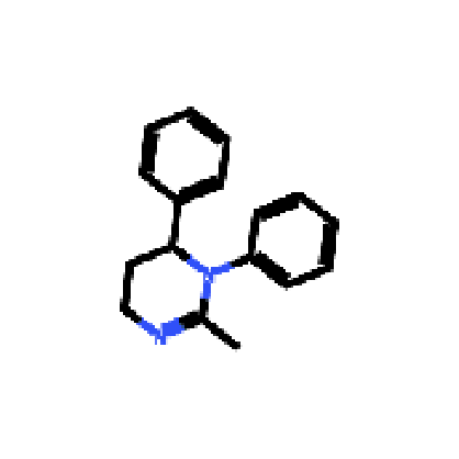 CC1=NCCC(c2ccccc2)N1c1ccccc1